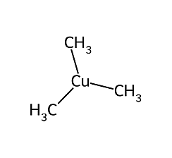 [CH3][Cu]([CH3])[CH3]